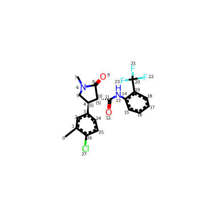 Cc1cc([C@H]2CN(C)C(=O)[C@@H]2C(=O)Nc2ccccc2C(F)(F)F)ccc1Cl